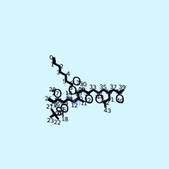 C=CCCCCC(=O)O[C@@H](/C(C)=C\[C@@H](C)[C@H](O[Si](C)(C)C(C)(C)C)[C@H](C=C)OC)[C@H](C)C(=O)CCCC(CC(C)=O)CC(C)=O